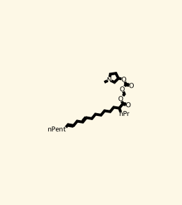 CCCCCC=CCC=CCCCCCCC(CCC)C(=O)OCOC(=O)OC1CCN(C)C1